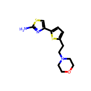 Nc1nc(-c2ccc(CCN3CCOCC3)s2)cs1